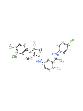 O=CC1(CNc2ccc(Cl)c(C(=O)Nc3ccc(F)cc3)c2)C(c2ccc(Cl)c(Cl)c2)C1(Cl)Cl